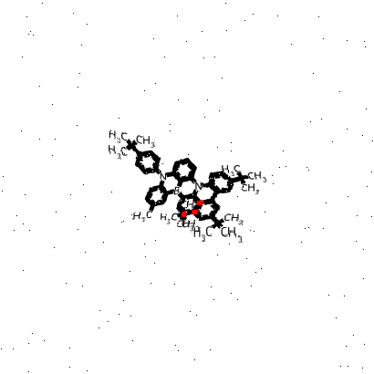 Cc1ccc2c(c1)B1c3cc(C)ccc3N(c3ccc(C(C)(C)C)cc3-c3cc(C(C)(C)C)cc(C(C)(C)C)c3)c3cccc(c31)N2c1ccc(C(C)(C)C)cc1